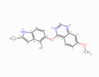 COc1[c]cc2c(Oc3ccc4[nH]c(C)cc4c3F)ncnc2c1